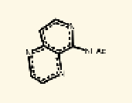 CC(=O)Nc1nccc2nccnc12